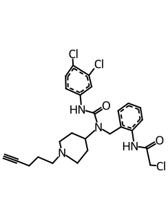 C#CCCCN1CCC(N(Cc2ccccc2NC(=O)CCl)C(=O)Nc2ccc(Cl)c(Cl)c2)CC1